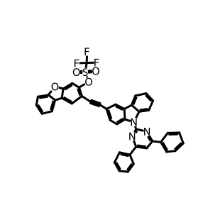 O=S(=O)(Oc1cc2oc3ccccc3c2cc1C#Cc1ccc2c(c1)c1ccccc1n2-c1nc(-c2ccccc2)cc(-c2ccccc2)n1)C(F)(F)F